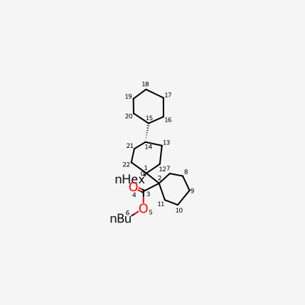 CCCCCC[C@]1(C2(C(=O)OCCCC)CCCCC2)CC[C@@H](C2CCCCC2)CC1